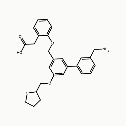 NCc1cccc(-c2cc(COc3ccccc3CC(=O)O)cc(OCC3CCCO3)c2)c1